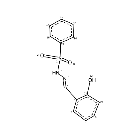 O=S(=O)(N/N=C/c1ccccc1O)c1ccccc1